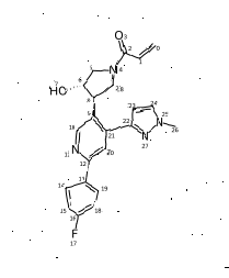 C=CC(=O)N1C[C@@H](O)[C@H](c2cnc(-c3ccc(F)cc3)cc2-c2ccn(C)n2)C1